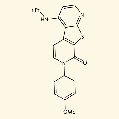 CCCNc1ccnc2sc3c(=O)n(C4C=CC(OC)=CC4)ccc3c12